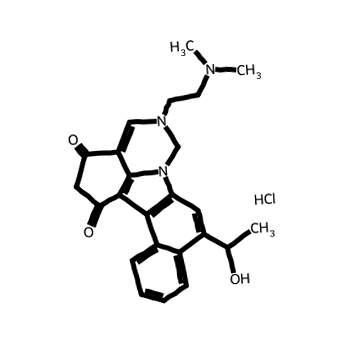 CC(O)c1cc2c(c3c4n2CN(CCN(C)C)C=C4C(=O)CC3=O)c2ccccc12.Cl